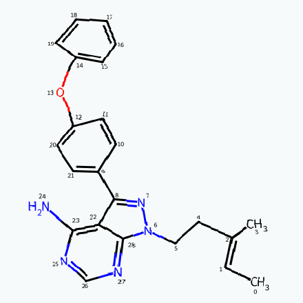 CC=C(C)CCn1nc(-c2ccc(Oc3ccccc3)cc2)c2c(N)ncnc21